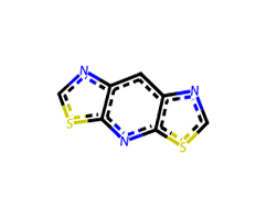 c1nc2cc3ncsc3nc2s1